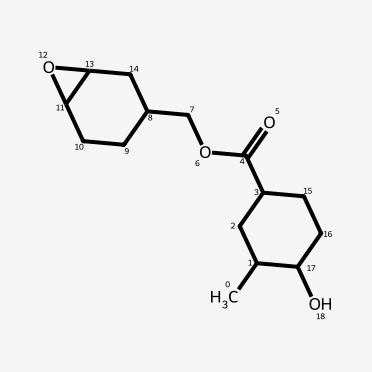 CC1CC(C(=O)OCC2CCC3OC3C2)CCC1O